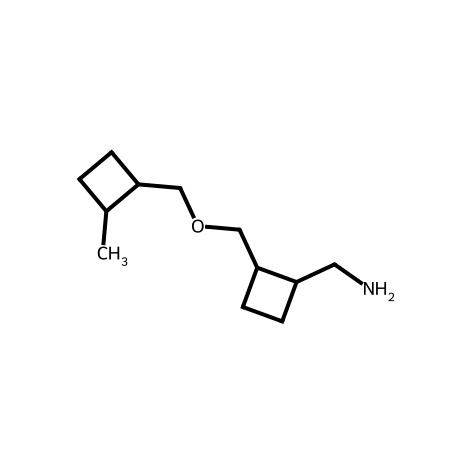 CC1CCC1COCC1CCC1CN